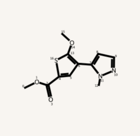 COC(=O)c1cc(-c2ccnn2C)c(OC)s1